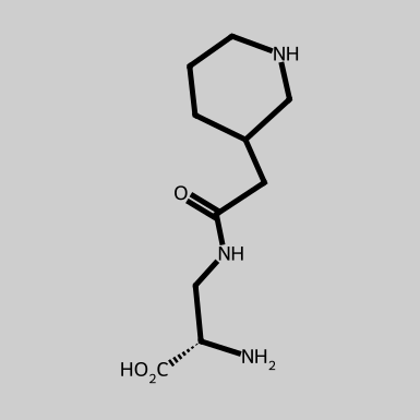 N[C@@H](CNC(=O)CC1CCCNC1)C(=O)O